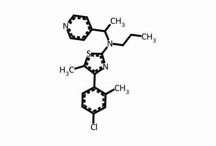 CCCN(c1nc(-c2ccc(Cl)cc2C)c(C)s1)C(C)c1ccncc1